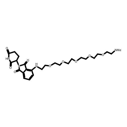 CNCCOCCOCCOCCOCCOCCNc1cccc2c1C(=O)N(C1CCC(=O)NC1=O)C2=O